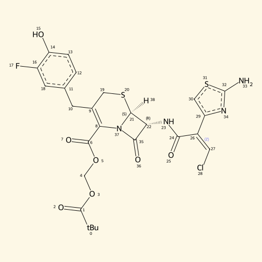 CC(C)(C)C(=O)OCOC(=O)C1=C(Cc2ccc(O)c(F)c2)CS[C@H]2[C@H](NC(=O)/C(=C\Cl)c3csc(N)n3)C(=O)N12